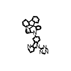 c1ccc2c(c1)-c1ccccc1C21c2ccccc2N(c2ccc3c(c2)c2ncccc2n3-c2ncncn2)c2ccccc21